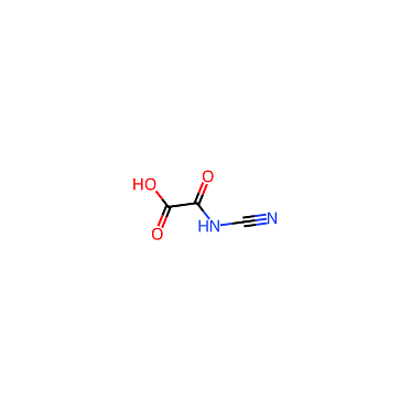 N#CNC(=O)C(=O)O